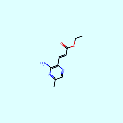 CCOC(=O)/C=C/c1ncc(C)nc1N